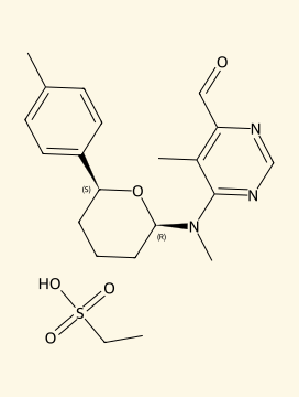 CCS(=O)(=O)O.Cc1ccc([C@@H]2CCC[C@H](N(C)c3ncnc(C=O)c3C)O2)cc1